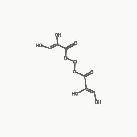 O=C(OOOC(=O)C(O)=CO)C(O)=CO